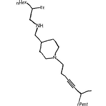 CCCCCCC(CC)CNCC1CCN(CCC#CC(C)CCCCC)CC1